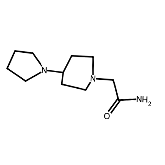 NC(=O)CN1CCC(N2CCCC2)CC1